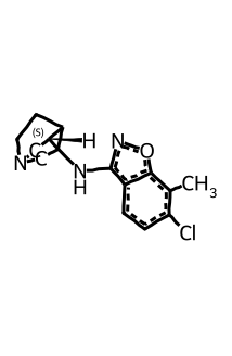 Cc1c(Cl)ccc2c(N[C@@H]3CN4CCC3CC4)noc12